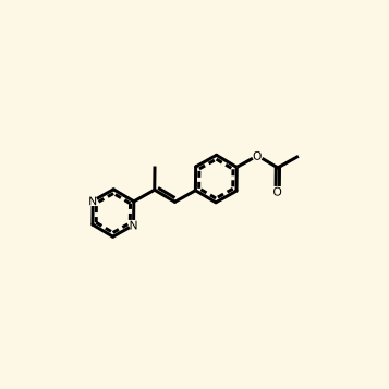 CC(=O)Oc1ccc(/C=C(\C)c2cnccn2)cc1